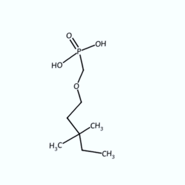 CCC(C)(C)CCOCP(=O)(O)O